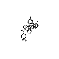 Cc1ccc(S(=O)(=O)N2CCC[C@H]2C(=O)N(C)C2CCC(F)(F)CC2)c(-n2nccc2C)c1